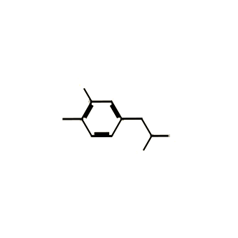 CCC(Cc1ccc(C)c(Br)c1)C(C)=O